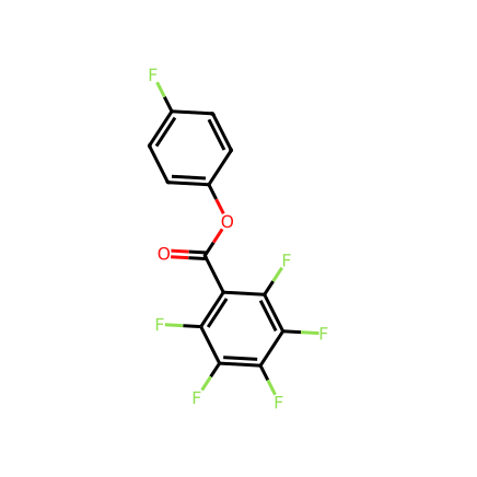 O=C(Oc1ccc(F)cc1)c1c(F)c(F)c(F)c(F)c1F